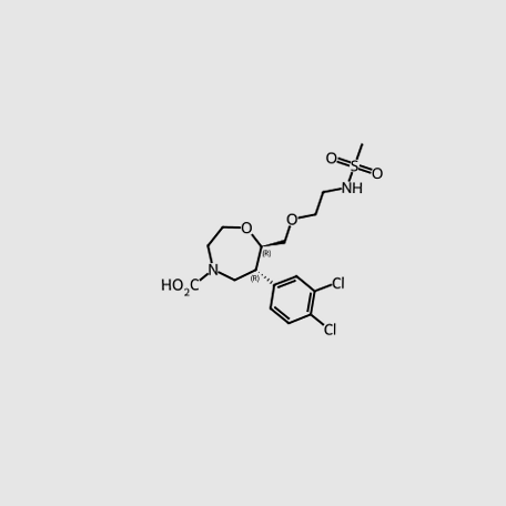 CS(=O)(=O)NCCOC[C@@H]1OCCN(C(=O)O)C[C@H]1c1ccc(Cl)c(Cl)c1